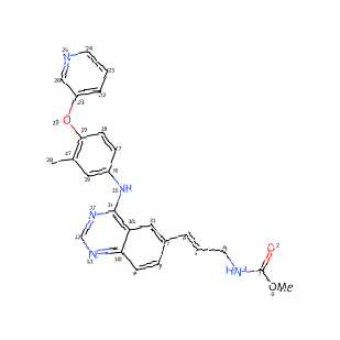 COC(=O)NCC=Cc1ccc2ncnc(Nc3ccc(Oc4cccnc4)c(C)c3)c2c1